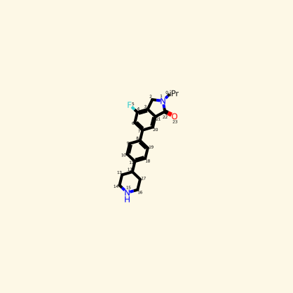 CC(C)N1Cc2c(F)cc(-c3ccc(C4CCNCC4)cc3)cc2C1=O